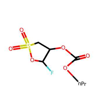 CCCOC(=O)OC1CS(=O)(=O)OC1F